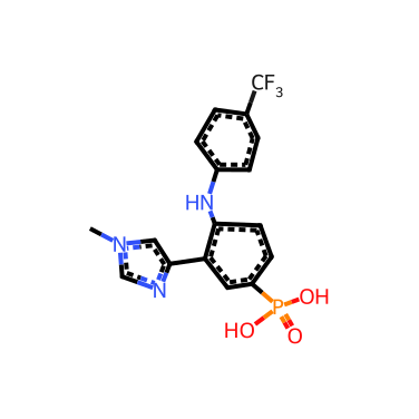 Cn1cnc(-c2cc(P(=O)(O)O)ccc2Nc2ccc(C(F)(F)F)cc2)c1